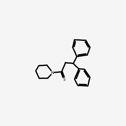 S=C(CC(c1ccccc1)c1ccccc1)N1CCCCC1